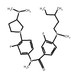 CCC(C)CCN(C)c1ccc(C(=O)N(C)c2ccc(N3CCC(N(C)C)C3)c(F)c2)cc1F